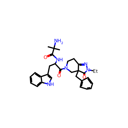 CCN1N=C2CCN(C(=O)C(Cc3c[nH]c4ccccc34)NC(=O)C(C)(C)N)CC2(Cc2ccccc2)C1=O